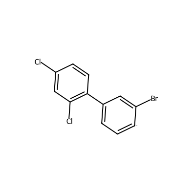 Clc1ccc(-c2cc[c]c(Br)c2)c(Cl)c1